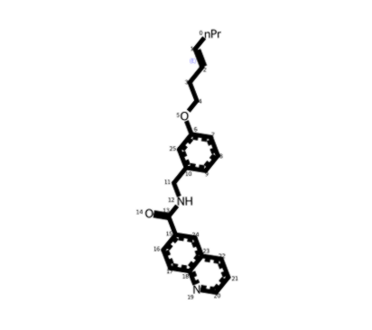 CCC/C=C/CCOc1cccc(CNC(=O)c2ccc3ncccc3c2)c1